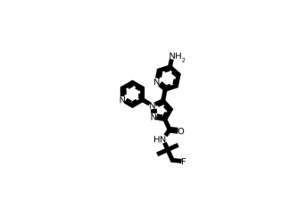 CC(C)(CF)NC(=O)c1cc(-c2ccc(N)cn2)n(-c2cccnc2)n1